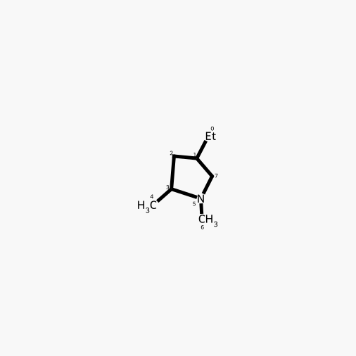 CCC1CC(C)N(C)C1